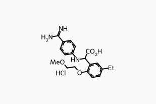 CCc1ccc(OCCOC)c(C(Nc2ccc(C(=N)N)cc2)C(=O)O)c1.Cl